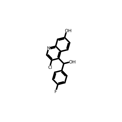 Oc1ccc2c(C(O)c3ccc(F)cc3)c(Cl)cnc2c1